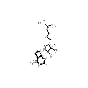 C[C@@]1(O)[C@@H](CSCC[C@H](N)C(=O)O)O[C@@H](n2ccc3c(N)ncnc32)[C@@H]1O